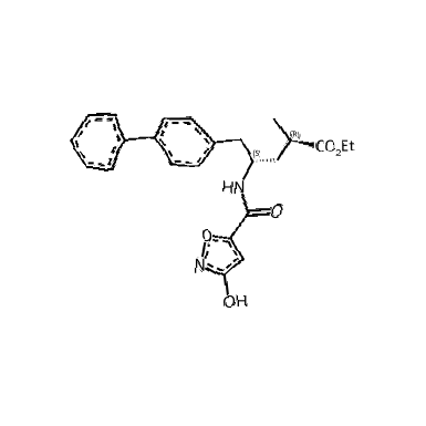 CCOC(=O)[C@H](C)C[C@@H](Cc1ccc(-c2ccccc2)cc1)NC(=O)c1cc(O)no1